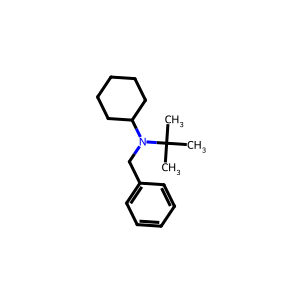 CC(C)(C)N(Cc1ccccc1)C1CCCCC1